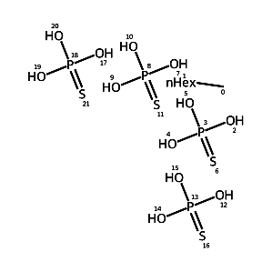 CCCCCCC.OP(O)(O)=S.OP(O)(O)=S.OP(O)(O)=S.OP(O)(O)=S